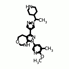 COc1ncc(-n2nc(-c3cnn(C(C)C4CCNCC4)c3)c3c2NCOCC3)cc1C